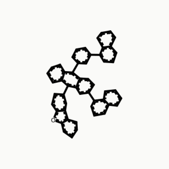 c1cc(-c2cccc3ccccc23)cc(-c2c3ccccc3c(-c3ccc4oc5ccccc5c4c3)c3cc(-c4cccc5ccccc45)ccc23)c1